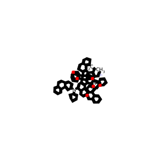 C=Cc1c(/C=C\C)c(N(c2ccccc2)c2ccc3ccc4ccccc4c3c2)cc2c1-c1c(ccc3ccccc13)C2(c1ccccc1)C1(c2ccccc2)c2ccc3ccccc3c2-c2c1cc(N(c1ccccc1)c1ccc3ccc4ccccc4c3c1)c1ccccc21